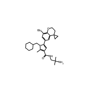 Cc1c(C(=O)NCC(C)(C)N)cc(-c2cc(C(C)(C)C)c3c(c2)C2(CCO3)CC2)n1CC1CCCCC1